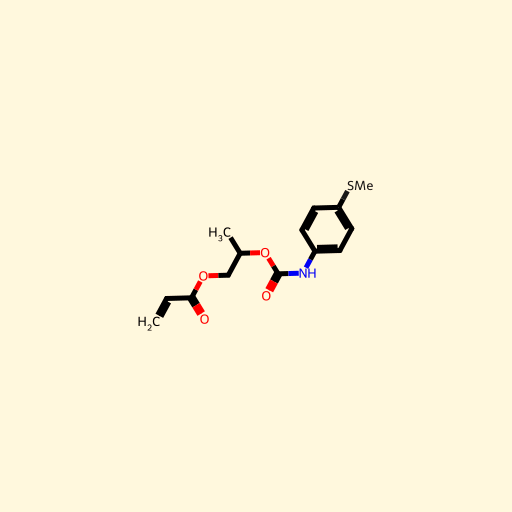 C=CC(=O)OCC(C)OC(=O)Nc1ccc(SC)cc1